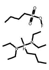 CCCCS(=O)(=O)OF.CCCC[PH](C)(N(CC)CC)N(CC)CC